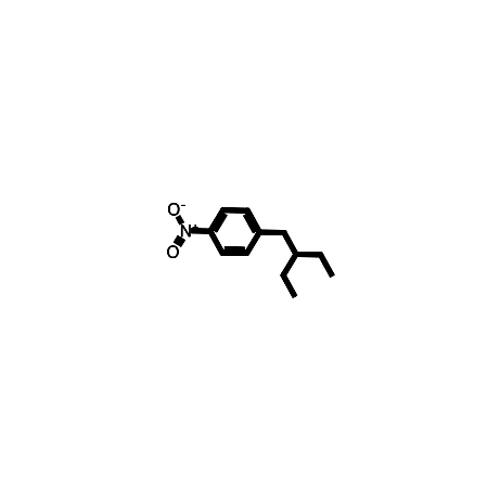 CCC(CC)Cc1ccc([N+](=O)[O-])cc1